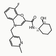 Cc1ccc(CN2C=C(C(=O)N[C@H]3CCCC[C@@H]3O)Oc3c(F)cccc32)cn1